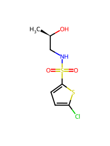 C[C@@H](O)CNS(=O)(=O)c1ccc(Cl)s1